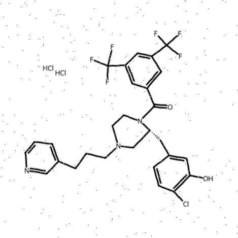 Cl.Cl.O=C(c1cc(C(F)(F)F)cc(C(F)(F)F)c1)N1CCN(CCCc2cccnc2)C[C@H]1Cc1ccc(Cl)c(O)c1